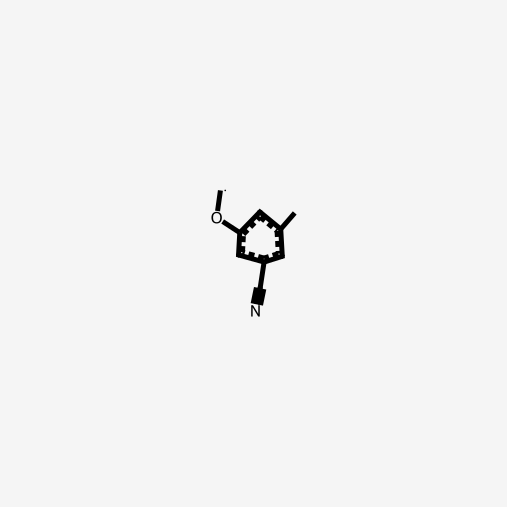 [CH2]Oc1cc(C)cc(C#N)c1